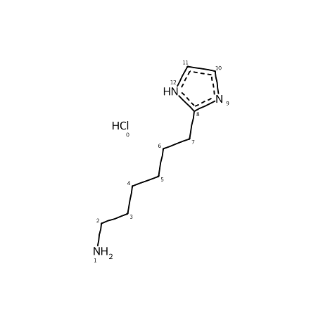 Cl.NCCCCCCc1ncc[nH]1